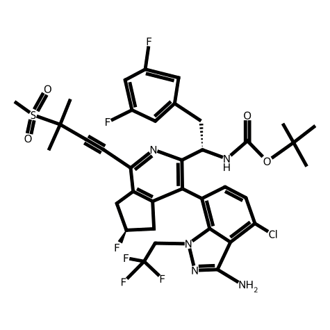 CC(C)(C)OC(=O)N[C@@H](Cc1cc(F)cc(F)c1)c1nc(C#CC(C)(C)S(C)(=O)=O)c2c(c1-c1ccc(Cl)c3c(N)nn(CC(F)(F)F)c13)C[C@@H](F)C2